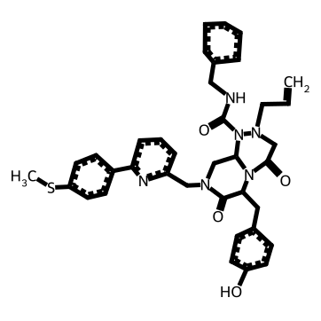 C=CCN1CC(=O)N2C(Cc3ccc(O)cc3)C(=O)N(Cc3cccc(-c4ccc(SC)cc4)n3)CC2N1C(=O)NCc1ccccc1